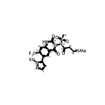 CCn1nccc1-c1cc2c(=O)n(N(C(=O)CCSC)S(C)(=O)=O)c(=O)[nH]c2cc1C(F)(F)F